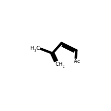 C=C(C)/C=C\C(C)=O